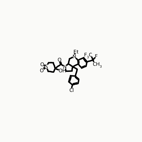 CCN1CC2N(C(=O)C3(O)CCS(=O)(=O)CC3)CCC2(Cc2ccc(Cl)cc2)c2ccc(C(C)(F)C(F)(F)F)cc21